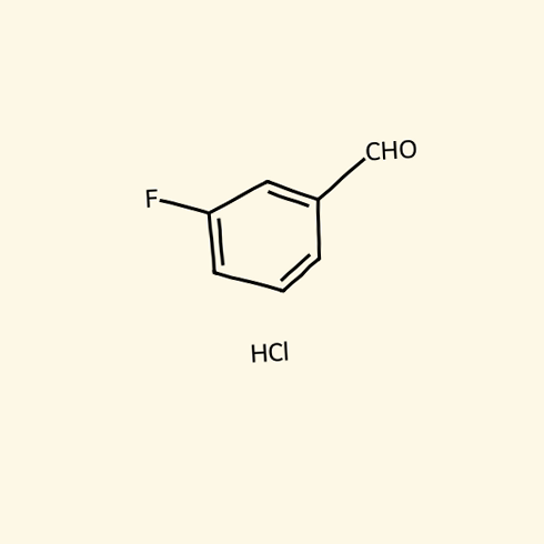 Cl.O=Cc1cccc(F)c1